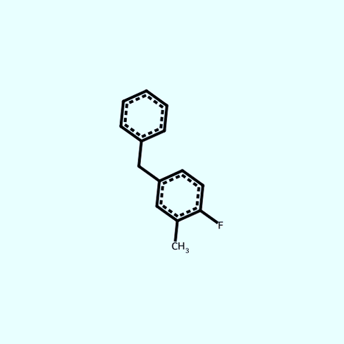 Cc1cc(Cc2ccccc2)ccc1F